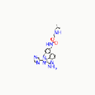 C=C(C)CNCCOC(=O)NCc1ccc(Cn2c(-c3cnccn3)nc3c(N)nc4ccccc4c32)cc1